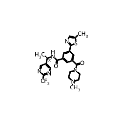 Cc1cnc(-c2cc(C(=O)N[C@H](C)c3cnc(C(F)(F)F)nc3)cc(C(=O)N3CCN(C)CC3)c2)s1